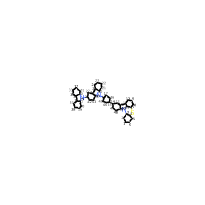 c1ccc2c(c1)Sc1cccc3c4cc(-c5ccc(-n6c7ccccc7c7cc(-n8c9ccccc9c9ccccc98)ccc76)cc5)ccc4n-2c13